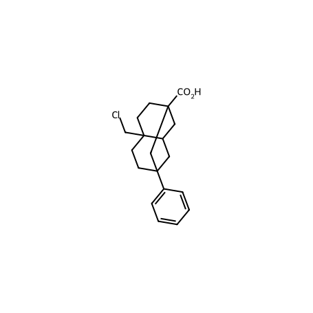 O=C(O)C12CCC3(CCl)CCC(c4ccccc4)(CC3C1)C2